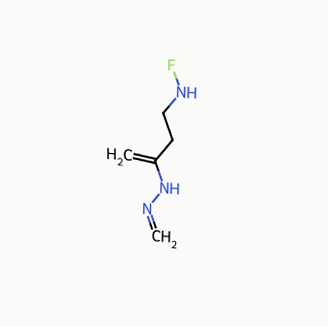 C=NNC(=C)CCNF